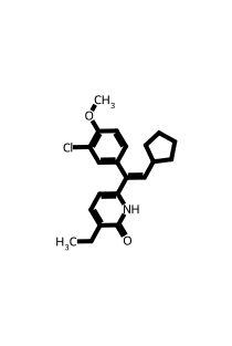 CCc1ccc(C(=CC2CCCC2)c2ccc(OC)c(Cl)c2)[nH]c1=O